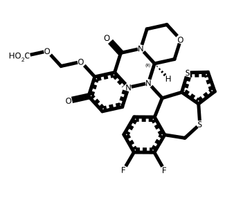 O=C(O)OCOc1c2n(ccc1=O)N(C1c3ccc(F)c(F)c3CSc3ccsc31)[C@@H]1COCCN1C2=O